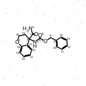 NC(=O)C1(NC(=O)OCc2ccccc2)CCOc2ccccc21